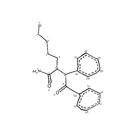 NC(=O)C(CCCCBr)C(C(=O)c1ccccc1)c1ccccc1